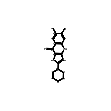 Cc1cc2oc3nc(N4CCCCC4)sc3c(=O)c2cc1C